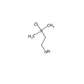 CCCCC[Si](C)(C)Cl